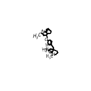 Cc1cc(COc2ccc(CC3(CC(=O)NO)CCCN(C)C3=O)cc2)c2ccccc2n1